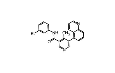 CCc1cccc(NC(=O)c2cncc(-c3cccc4ncccc34)c2C)c1